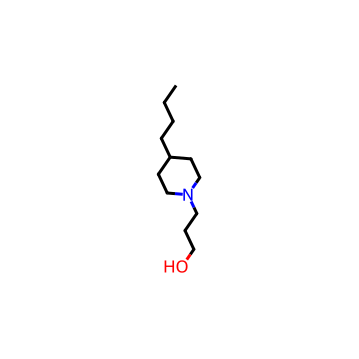 CCCCC1CCN(CCCO)CC1